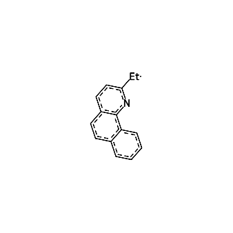 C[CH]c1ccc2ccc3ccccc3c2n1